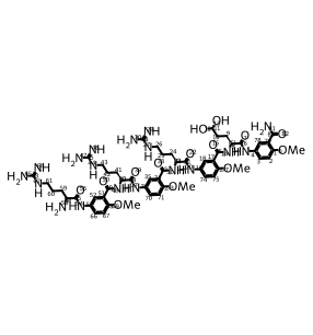 COc1ccc(NC(=O)[C@H](CCC(O)O)NC(=O)c2cc(NC(=O)[C@H](CCCNC(=N)N)NC(=O)c3cc(NC(=O)[C@H](CCCNC(=N)N)NC(=O)c4cc(NC(=O)[C@@H](N)CCCNC(=N)N)ccc4OC)ccc3OC)ccc2OC)cc1C(N)=O